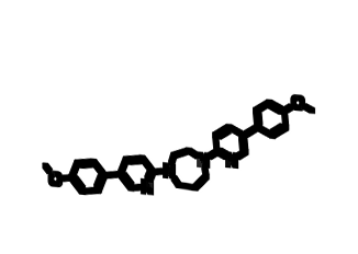 COc1ccc(-c2ccc(N3CCCN(c4ccc(-c5ccc(OC)cc5)cn4)CC3)nc2)cc1